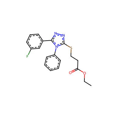 CCOC(=O)CCSc1nnc(-c2cccc(F)c2)n1-c1ccccc1